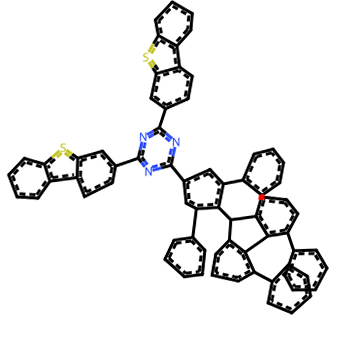 c1ccc(-c2cccc3c2-c2c(-c4ccccc4)cccc2C3c2c(-c3ccccc3)cc(-c3nc(-c4ccc5c(c4)sc4ccccc45)nc(-c4ccc5c(c4)sc4ccccc45)n3)cc2-c2ccccc2)cc1